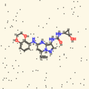 CNc1cc(Nc2cccc3c2OCCO3)nc2c(NC(=O)NC3CC3O)cnn12